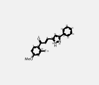 COc1ccc(C(=O)C=Cc2cc(-c3ccccc3)n[nH]2)c(F)c1